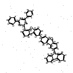 c1ccc(-c2nc(-c3ccccc3)nc(-c3cccc4c3oc3ccc(-c5ccc6c(c5)oc5ccc(-n7c8ccccc8c8ccccc87)cc56)cc34)n2)cc1